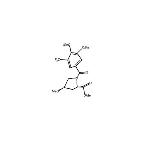 COC(=O)[C@H]1C[C@@H](OC)CN1C(=S)c1cc(OC)c(OC)c(C(F)(F)F)c1